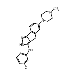 CN1CCN(c2ccc3c(c2)Cc2c-3n[nH]c2Nc2cccc(Cl)c2)CC1